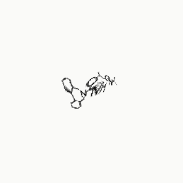 CC(C)=NOCC(C)OC(=N)N1Cc2ccccc2-c2ccccc2C1